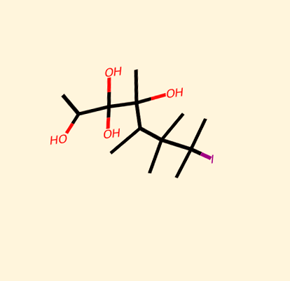 CC(C(C)(C)C(C)(C)I)C(C)(O)C(O)(O)C(C)O